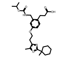 Cc1oc(C2(C)CCCCC2)nc1CCOc1ccc(CCC(=O)O)c(CNC(=O)OC(C)C)c1